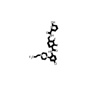 O=C(NCc1ccc(C(=O)Nc2ccc(Cl)cc2N2CCN(CCC(F)(F)F)CC2)c(F)c1F)c1cccc(O)n1